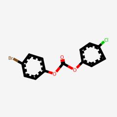 O=C(Oc1ccc(Cl)cc1)Oc1ccc(Br)cc1